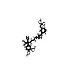 COC(=O)Cc1cccc(CCNCCCCC(C#N)(c2ccc(OC)c(OC)c2)C(C)C)c1